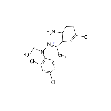 CCN(/N=C(\C)c1cc(Cl)ccc1N)c1ccc(Cl)cc1Cl